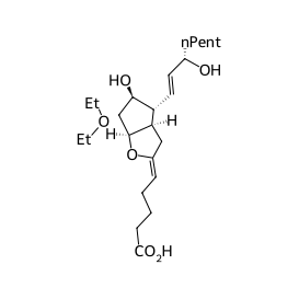 CCCCC[C@H](O)/C=C/[C@@H]1[C@H]2C/C(=C/CCCC(=O)O)O[C@H]2C[C@H]1O.CCOCC